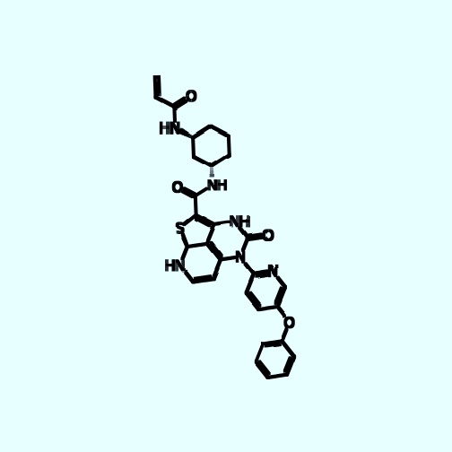 C=CC(=O)N[C@H]1CCC[C@H](NC(=O)C2=C3NC(=O)N(c4ccc(Oc5ccccc5)cn4)C4=C3C(C)(NC=C4)S2)C1